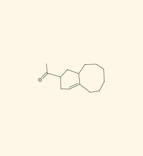 CC(=O)C1CC=C2CCCCCCC2C1